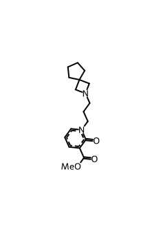 COC(=O)c1cccn(CCCN2CC3(CCCC3)C2)c1=O